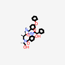 C[C@@H]1CN([C@@H](C)CO)C(=O)c2cccc(NC(=O)[C@H](O)c3ccccc3)c2O[C@@H]1CN(C)Cc1ccc(Oc2ccccc2)cc1